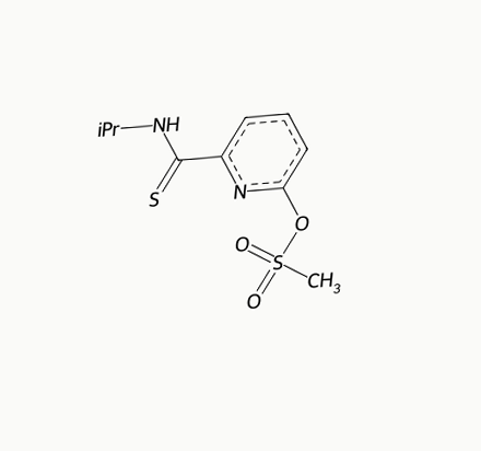 CC(C)NC(=S)c1cccc(OS(C)(=O)=O)n1